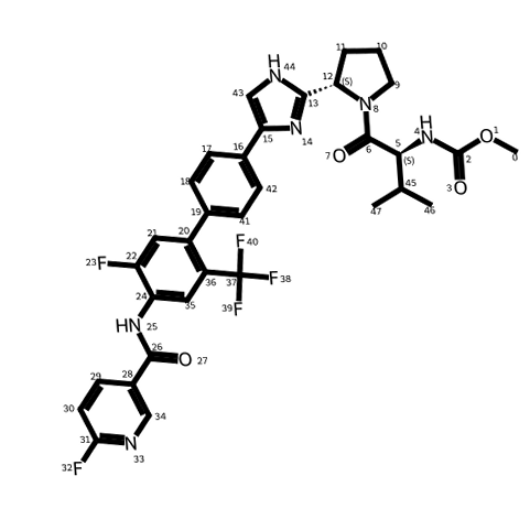 COC(=O)N[C@H](C(=O)N1CCC[C@H]1c1nc(-c2ccc(-c3cc(F)c(NC(=O)c4ccc(F)nc4)cc3C(F)(F)F)cc2)c[nH]1)C(C)C